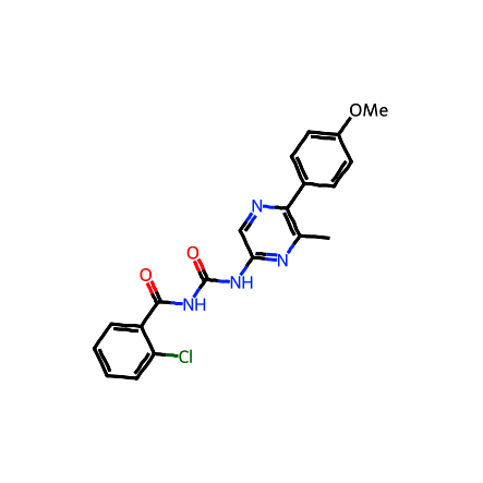 COc1ccc(-c2ncc(NC(=O)NC(=O)c3ccccc3Cl)nc2C)cc1